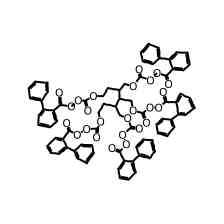 O=C(OCCC(COC(=O)OOC(=O)c1ccccc1-c1ccccc1)C(COC(=O)OOC(=O)c1ccccc1-c1ccccc1)C(CCOC(=O)OOC(=O)c1ccccc1-c1ccccc1)COC(=O)OOC(=O)c1ccccc1-c1ccccc1)OOC(=O)c1ccccc1-c1ccccc1